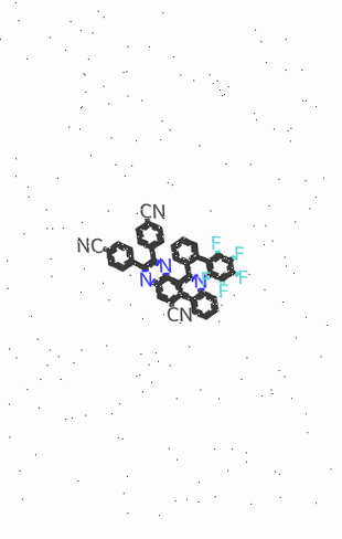 N#Cc1ccc(-c2nc3cc(C#N)c4c5ccccc5nc(-c5ccccc5-c5c(F)c(F)c(F)c(F)c5F)c4c3nc2-c2ccc(C#N)cc2)cc1